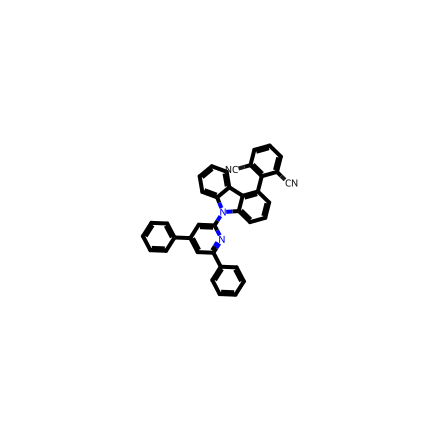 N#Cc1cccc(C#N)c1-c1cccc2c1c1ccccc1n2-c1cc(-c2ccccc2)cc(-c2ccccc2)n1